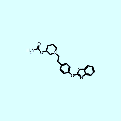 NC(=O)OC1CCCN(CCc2ccc(Oc3nc4ccccc4s3)cc2)C1